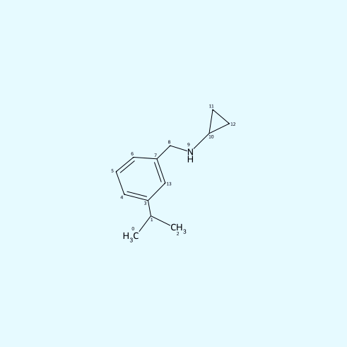 CC(C)c1cccc(CNC2CC2)c1